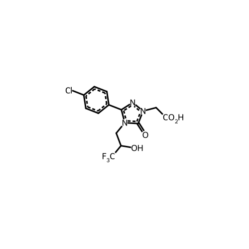 O=C(O)Cn1nc(-c2ccc(Cl)cc2)n(CC(O)C(F)(F)F)c1=O